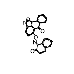 O=C1C=Cc2ccccc2/C1=N\Oc1ccc2noc3c2c1C(=O)c1ccccc1-3